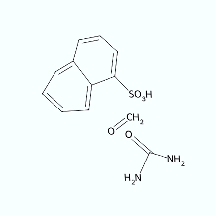 C=O.NC(N)=O.O=S(=O)(O)c1cccc2ccccc12